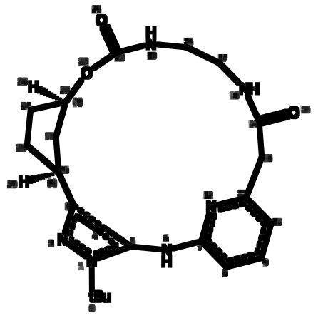 CC(C)(C)n1nc2cc1Nc1cccc(n1)CC(=O)NCCNC(=O)O[C@@H]1CC[C@H]2C1